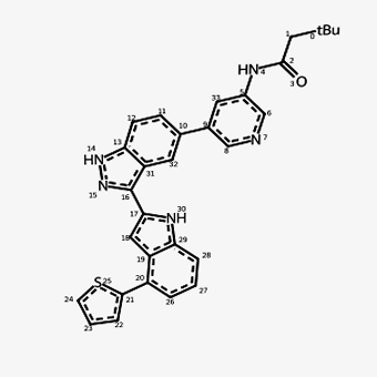 CC(C)(C)CC(=O)Nc1cncc(-c2ccc3[nH]nc(-c4cc5c(-c6cccs6)cccc5[nH]4)c3c2)c1